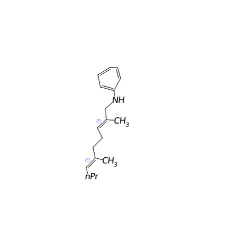 CCC/C=C(\C)CC/C=C(\C)CNc1ccccc1